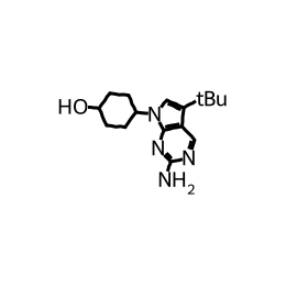 CC(C)(C)c1cn(C2CCC(O)CC2)c2nc(N)ncc12